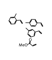 C=CC(=O)OC.C=Cc1ccc(C)cc1.C=Cc1cccc(C)c1.C=Cc1ccccc1C